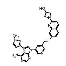 Cn1ccc(-c2cn(-c3cncc(COc4ccc5ccc(N6CC(O)C6)nc5c4)c3)c3ncnc(N)c23)n1